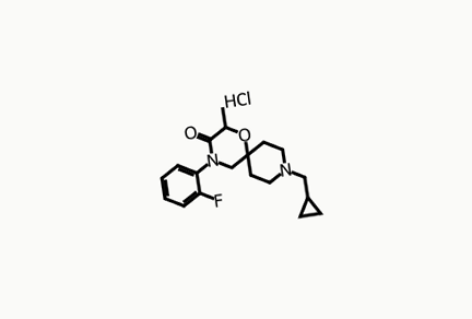 CC1OC2(CCN(CC3CC3)CC2)CN(c2ccccc2F)C1=O.Cl